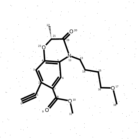 C#Cc1cc2c(cc1C(=O)OC)N(CCCCOC)C(=O)[C@@H](C)O2